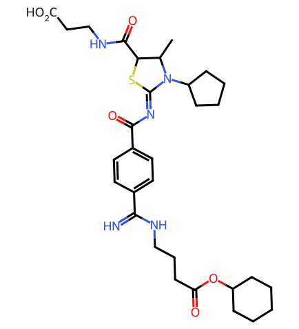 CC1C(C(=O)NCCC(=O)O)SC(=NC(=O)c2ccc(C(=N)NCCCC(=O)OC3CCCCC3)cc2)N1C1CCCC1